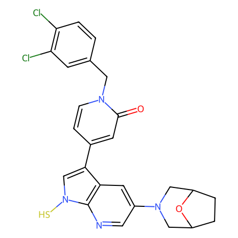 O=c1cc(-c2cn(S)c3ncc(N4CC5CCC(C4)O5)cc23)ccn1Cc1ccc(Cl)c(Cl)c1